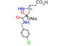 CO[C@]1(C(=O)NCc2ccc(Cl)cc2)C[C@H](CCC(=O)O)NO1